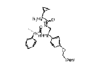 CCCC(C)COc1ccc([C@H](CNC(=O)[C@H](N)C2CC2)NC(=O)[C@@H](C)c2ccccc2)cc1